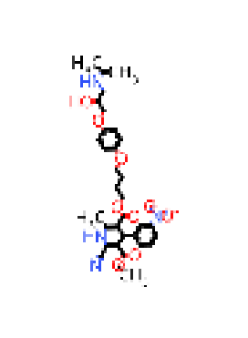 COC(=O)C1=C(C#N)NC(C)=C(C(=O)OCCCCOc2ccc(OCC(O)CNC(C)C)cc2)C1c1cccc([N+](=O)[O-])c1